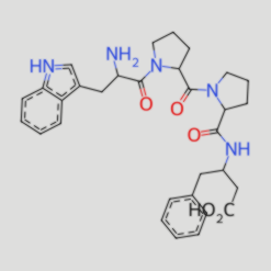 NC(Cc1c[nH]c2ccccc12)C(=O)N1CCCC1C(=O)N1CCCC1C(=O)NC(CC(=O)O)Cc1ccccc1